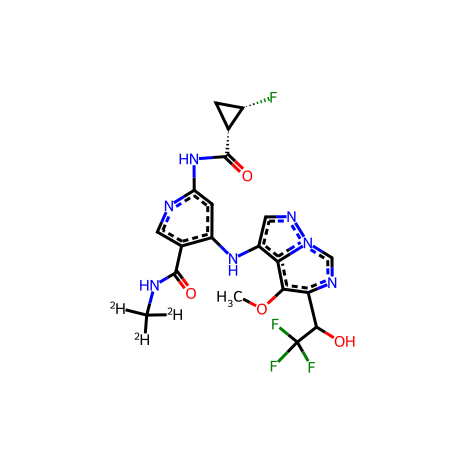 [2H]C([2H])([2H])NC(=O)c1cnc(NC(=O)[C@@H]2C[C@@H]2F)cc1Nc1cnn2cnc(C(O)C(F)(F)F)c(OC)c12